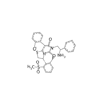 CS(=O)(=O)c1cccc(F)c1C1CSc2c(-c3ccccc3Cl)c(=O)n(CC(N)c3ccccc3)c(=O)n21